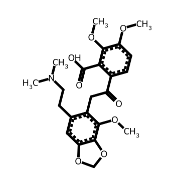 COc1ccc(C(=O)Cc2c(CCN(C)C)cc3c(c2OC)OCO3)c(C(=O)O)c1OC